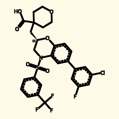 O=C(O)C1(C[C@H]2CN(S(=O)(=O)c3cccc(C(F)(F)F)c3)c3cc(-c4cc(F)cc(Cl)c4)ccc3O2)CCOCC1